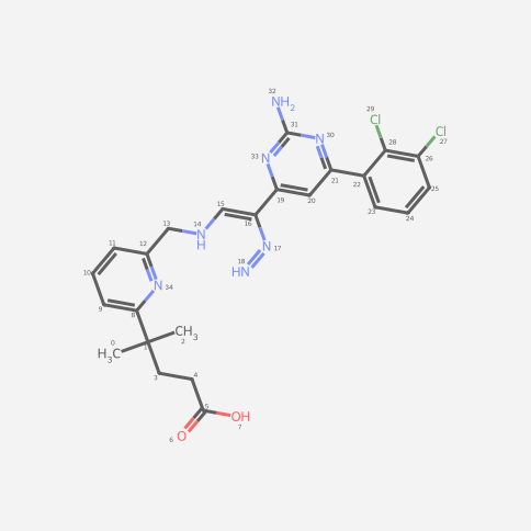 CC(C)(CCC(=O)O)c1cccc(CN/C=C(\N=N)c2cc(-c3cccc(Cl)c3Cl)nc(N)n2)n1